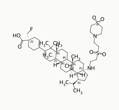 CC(C)[C@@H]1CC[C@]2(NCCS(=O)(=O)CCN3CCS(=O)(=O)CC3)CC[C@]3(C)[C@H](CC[C@@H]4[C@@]5(C)CC=C(C6=CC[C@](CF)(C(=O)O)CC6)C(C)(C)[C@@H]5CC[C@]43C)[C@@H]12